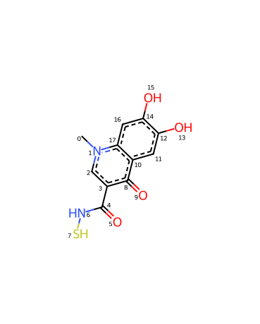 Cn1cc(C(=O)NS)c(=O)c2cc(O)c(O)cc21